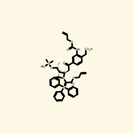 C=CCOC(=O)Nc1cc(C(=O)C[C@@H]2[C@@H]([C@@H](C)O[Si](C)(C)C(C)(C)C)C(=O)N2C(C(=O)OCC=C)=P(c2ccccc2)(c2ccccc2)c2ccccc2)ccc1CC(=O)O